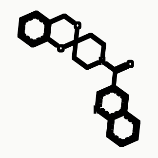 O=C(c1cnc2ccccc2c1)N1CCC2(CC1)OCc1ccccc1O2